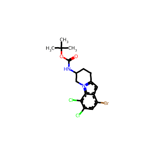 CC(C)(C)OC(=O)NC1CCc2cc3c(Br)cc(Cl)c(Cl)c3n2C1